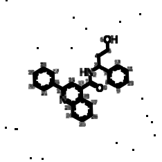 O=C(NC(CCO)c1ccccc1)c1cc(-c2ccccc2)nc2ccccc12